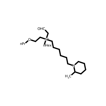 CCCCCC[N+](CC=O)(CCCCCCN1CCCCC1C)CCOCCC